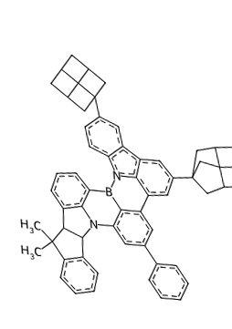 CC1(C)c2ccccc2C2C1c1cccc3c1N2c1cc(-c2ccccc2)cc2c1B3n1c3ccc(C45CC6CC7CC(C4)C765)cc3c3cc(C45CC6CC7CC(C4)C76C5)cc-2c31